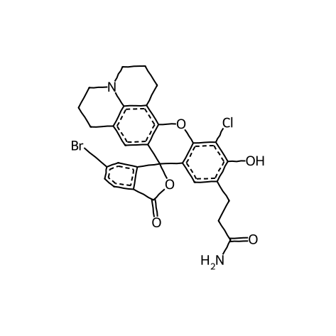 NC(=O)CCc1cc2c(c(Cl)c1O)Oc1c(cc3c4c1CCCN4CCC3)C21OC(=O)c2ccc(Br)cc21